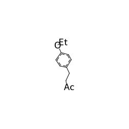 CCOc1ccc(CCC(C)=O)cc1